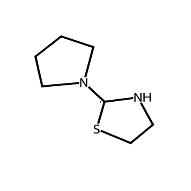 C1CCN([C]2NCCS2)C1